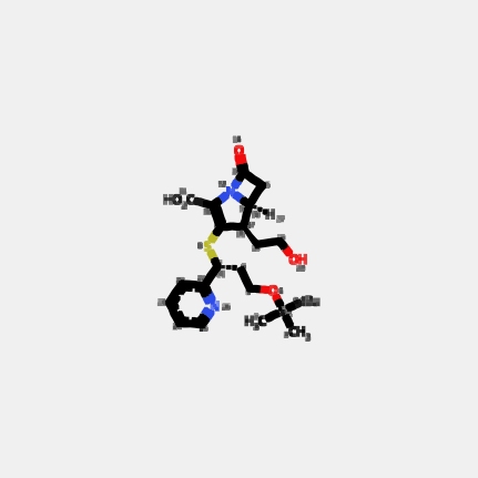 CC(C)(C)[Si](C)(C)OCC[C@@H](SC1=C(C(=O)O)N2C(=O)C[C@H]2[C@H]1CCO)c1ccccn1